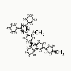 C=Cc1cc(-n2c3ccccc3c3cc(-c4ccc(C)cc4)ccc32)ccc1-c1nc(-c2ccccc2)nc(-c2ccccc2)n1